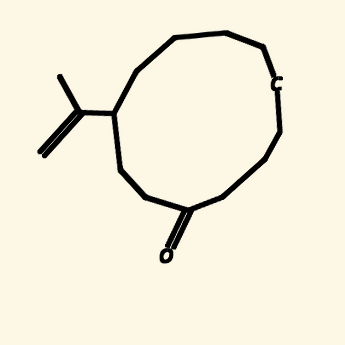 C=C(C)C1CCCCCCCCC(=O)CC1